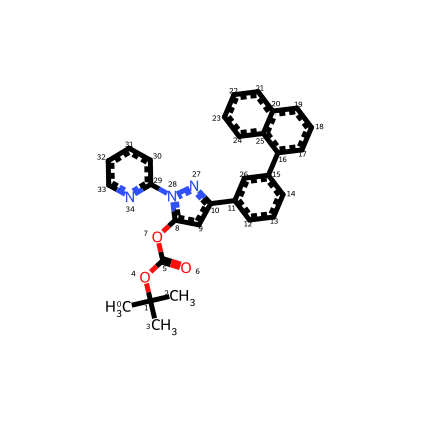 CC(C)(C)OC(=O)Oc1cc(-c2cccc(-c3cccc4ccccc34)c2)nn1-c1ccccn1